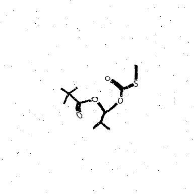 CSC(=O)OC(OC(=O)C(C)(C)C)C(C)C